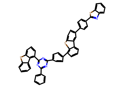 c1ccc(-c2nc(-c3ccc(-c4cccc5c4sc4ccc(-c6ccc(-c7nc8ccccc8s7)cc6)cc45)cc3)nc(-c3cccc4sc5ccccc5c34)n2)cc1